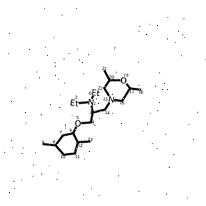 CCN(CC)C(COC1CC(C)CCC1C)CN1CC(C)OC(C)C1